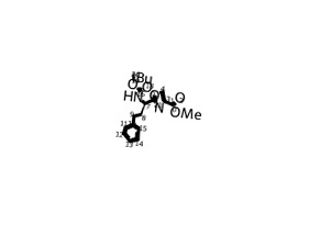 COC(=O)c1coc([C@@H](CCc2ccccc2)NC(=O)OC(C)(C)C)n1